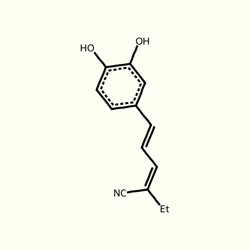 CC/C(C#N)=C/C=C/c1ccc(O)c(O)c1